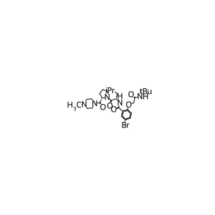 CC(C)C[C@@H](NC(=O)c1cc(Br)ccc1OCC(=O)NC(C)(C)C)C(=O)N1CCC[C@@H]1C(=O)N1CCN(C)CC1